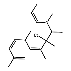 C=C(C)/C=C\C(C)/C=C(/C)C(C)(CC)C(C)N(C)/C=C\C